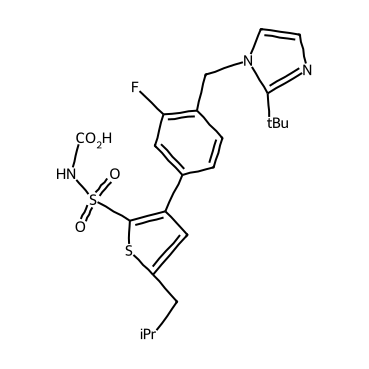 CC(C)Cc1cc(-c2ccc(Cn3ccnc3C(C)(C)C)c(F)c2)c(S(=O)(=O)NC(=O)O)s1